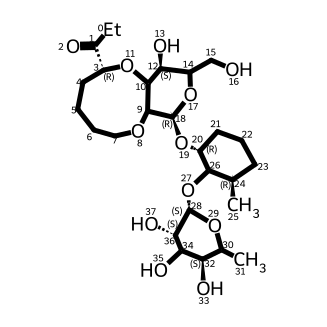 CCC(=O)[C@H]1CCCCOC2C(O1)[C@@H](O)C(CO)O[C@H]2O[C@@H]1CCC[C@@H](C)C1O[C@@H]1OC(C)[C@@H](O)C(O)[C@@H]1O